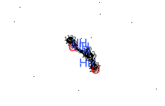 CCn1c(C#CCNC(=O)Nc2ccccc2)cc2cc(CNC3CCOCC3)ccc21